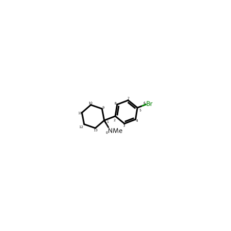 CNC1(c2ccc(Br)cc2)CCCCC1